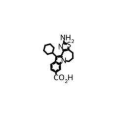 Nc1nc2c(s1)CCCn1c-2c(C2CCCCC2)c2ccc(C(=O)O)cc21